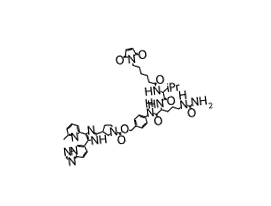 Cc1cccc(-c2nc(C3CCN(C(=O)OCc4ccc(NC(=O)C(CCCNC(N)=O)NC(=O)C(NC(=O)CCCCCN5C(=O)C=CC5=O)C(C)C)cc4)C3)[nH]c2-c2ccc3ncnn3c2)n1